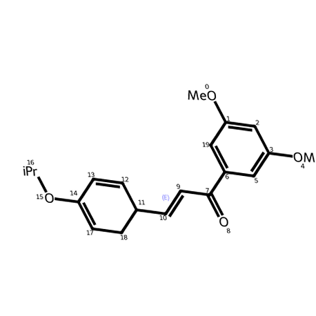 COc1cc(OC)cc(C(=O)/C=C/C2C=CC(OC(C)C)=CC2)c1